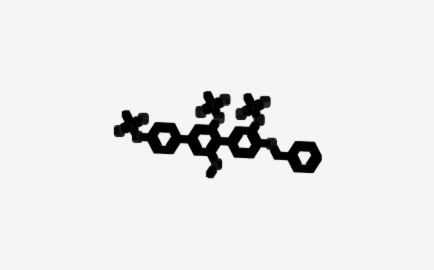 COc1cc(-c2ccc(OS(C)(=O)=O)cc2)cc(OS(C)(=O)=O)c1-c1ccc(OCc2ccccc2)c(OS(C)(=O)=O)c1